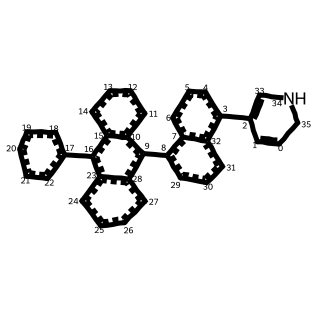 C1=CC(c2cccc3c(-c4c5ccccc5c(-c5ccccc5)c5ccccc45)cccc23)=CNC1